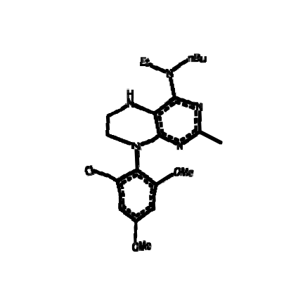 CCCCN(CC)c1nc(C)nc2c1NCCN2c1c(Cl)cc(OC)cc1OC